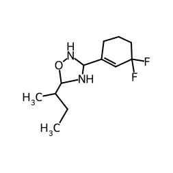 CCC(C)C1NC(C2=CC(F)(F)CCC2)NO1